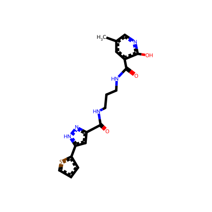 Cc1cnc(O)c(C(=O)NCCCNC(=O)c2cc(-c3cccs3)[nH]n2)c1